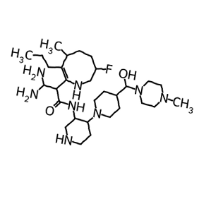 CCC/C1=C(\C(C(=O)NC2CNCCC2N2CCC(C(O)N3CCN(C)CC3)CC2)C(N)N)NCC(F)CCC1C